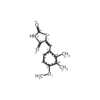 COc1ccc(C=C2SC(=O)NC2=O)c(C)c1C